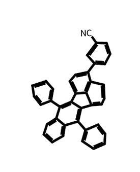 N#Cc1cccc(-c2ccc3c4c(cccc24)-c2c-3c(-c3ccccc3)c3ccccc3c2-c2ccccc2)c1